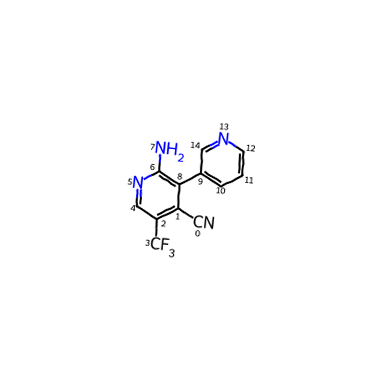 N#Cc1c(C(F)(F)F)cnc(N)c1-c1cccnc1